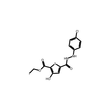 O=C(NNc1ccc(Cl)cc1)c1cc(O)c(C(=O)OCI)s1